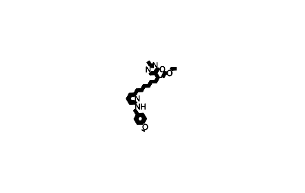 CCOC(=O)C[C@H](CCCCCCc1cccc(NCc2ccc(OC)cc2)n1)c1cnc(C)nc1